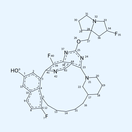 Oc1cc2c3c(c(F)ccc3c1)CCCCCC1CCCN(C1)c1nc(OCC34CCCN3CC(F)C4)nc3c(F)c-2ncc13